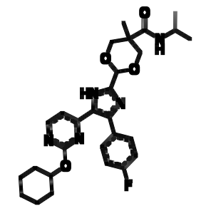 CC(C)NC(=O)C1(C)COC(c2nc(-c3ccc(F)cc3)c(-c3ccnc(OC4CCCCC4)n3)[nH]2)OC1